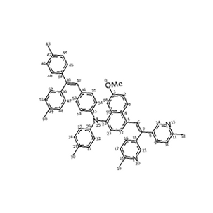 COc1ccc2c(C=C(c3ccc(C)nc3)c3ccc(C)nc3)ccc(N(c3ccc(C)cc3)c3ccc(C=C(c4ccc(C)cc4)c4ccc(C)cc4)cc3)c2c1